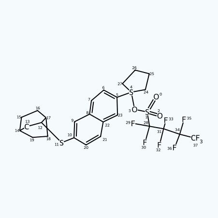 O=S(=O)(OS1(c2ccc3cc(SC4CC5CCC4CC5)ccc3c2)CCCC1)C(F)(F)C(F)(F)C(F)(F)C(F)(F)F